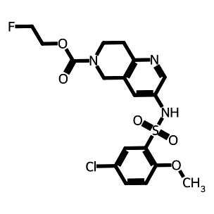 COc1ccc(Cl)cc1S(=O)(=O)Nc1cnc2c(c1)CN(C(=O)OCCF)CC2